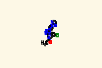 CCC(=O)N1Cc2cc(Cl)ccc2-n2c(nnc2N2CCN(c3ncccn3)CC2)C1